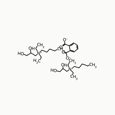 CCCCC[N+](CC)(CC)CC(O)CO.CCCCC[N+](CC)(CC)CC(O)CO.O=C([O-])c1ccccc1C(=O)[O-]